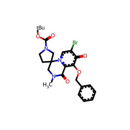 CN1CC2(CCN(C(=O)OC(C)(C)C)C2)n2cc(Br)c(=O)c(OCc3ccccc3)c2C1=O